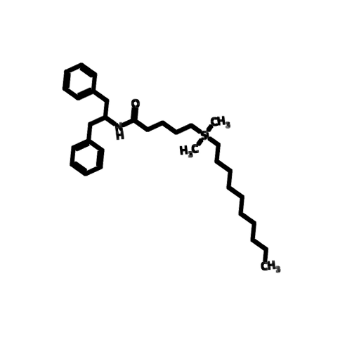 CCCCCCCCCC[Si](C)(C)CCCCC(=O)NC(Cc1ccccc1)Cc1ccccc1